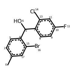 Cc1ccc(C(O)c2ccc(F)cc2Cl)c(Br)c1